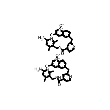 Cc1cc(N)nc(C)c1CNC(=O)c1ccnc(Cc2ccc3c(cc(Cl)c[n+]3[O-])c2)c1.Cc1cc(N)nc(C)c1CNC(=O)c1ccnc(Cc2ccc3c(cc(Cl)c[n+]3[O-])c2)c1